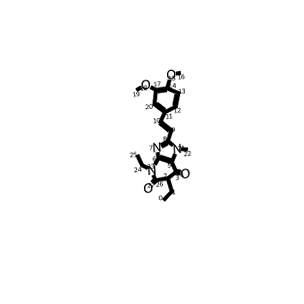 CCC1C(=O)c2c(nc(/C=C/c3ccc(OC)c(OC)c3)n2C)N(CC)C1=O